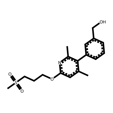 Cc1cc(OCCCS(C)(=O)=O)nc(C)c1-c1cccc(CO)c1